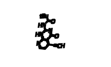 C#Cc1ccnc2[nH]c(NC(=O)C(C)(C)C)nc(=O)c12